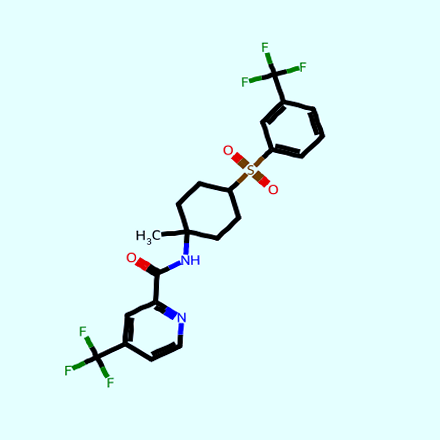 CC1(NC(=O)c2cc(C(F)(F)F)ccn2)CCC(S(=O)(=O)c2cccc(C(F)(F)F)c2)CC1